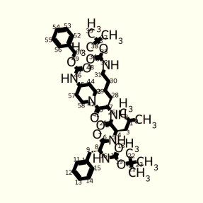 CC(C)C[C@@H](NC(=O)[C@@H](Cc1ccccc1)NC(=O)OC(C)(C)C)C(=O)N[C@H](CCCCNC(=O)OC(C)(C)C)C(=O)N1CCC(NC(=O)OCc2ccccc2)CC1